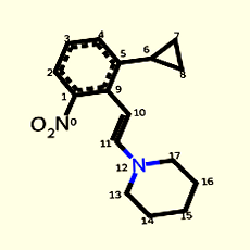 O=[N+]([O-])c1cccc(C2CC2)c1C=CN1CCCCC1